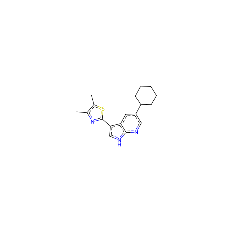 Cc1nc(-c2c[nH]c3ncc(C4CCCCC4)cc23)sc1C